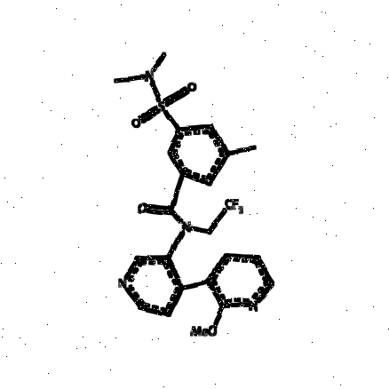 COc1ncccc1-c1ccncc1N(CC(F)(F)F)C(=O)c1cc(C)cc(S(=O)(=O)N(C)C)c1